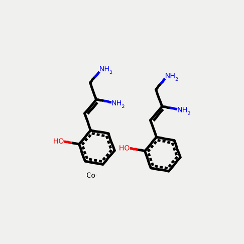 NCC(N)=Cc1ccccc1O.NCC(N)=Cc1ccccc1O.[Co]